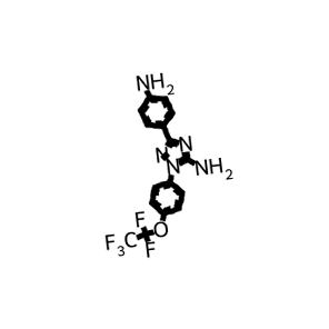 Nc1ccc(-c2nc(N)n(-c3ccc(OC(F)(F)C(F)(F)F)cc3)n2)cc1